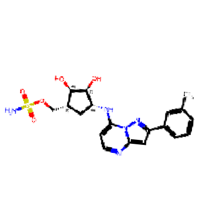 NS(=O)(=O)OC[C@H]1C[C@@H](Nc2ccnc3cc(-c4cccc(C(F)(F)F)c4)nn23)[C@H](O)[C@@H]1O